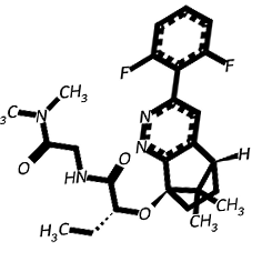 CC[C@@H](O[C@@]12CC[C@@H](c3cc(-c4c(F)cccc4F)nnc31)C2(C)C)C(=O)NCC(=O)N(C)C